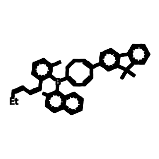 CC/C=C\C=C/c1cccc(C)c1B(/C1=C/C=C\C(c2ccc3c(c2)C(C)(C)c2ccccc2-3)=C/CC1)c1c(C)ccc2ccccc12